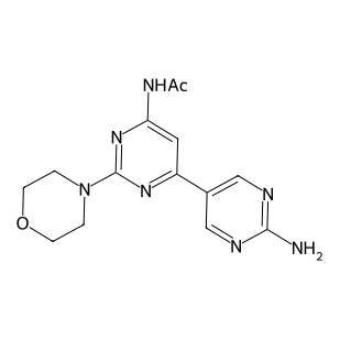 CC(=O)Nc1cc(-c2cnc(N)nc2)nc(N2CCOCC2)n1